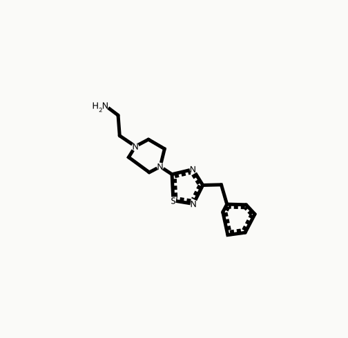 NCCN1CCN(c2nc(Cc3ccccc3)ns2)CC1